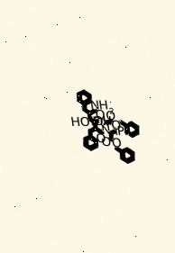 CC(C)C(C(=O)OCc1ccccc1)N(C(=O)C(Cc1ccccc1)C(O)C(O)C(Cc1ccccc1)C(N)=O)C(C(=O)OCc1ccccc1)C(C)C